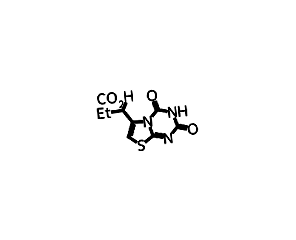 CCC(C(=O)O)c1csc2nc(=O)[nH]c(=O)n12